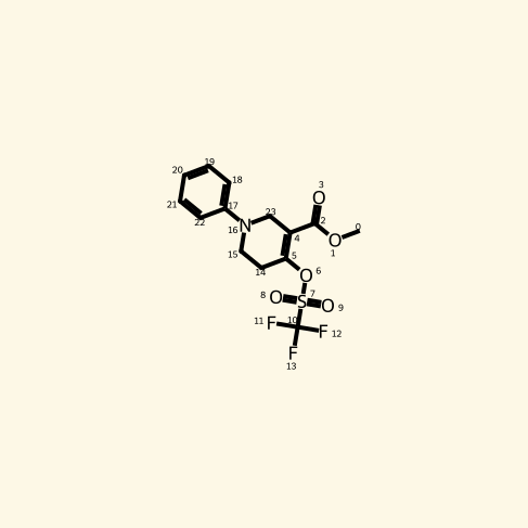 COC(=O)C1=C(OS(=O)(=O)C(F)(F)F)CCN(c2ccccc2)C1